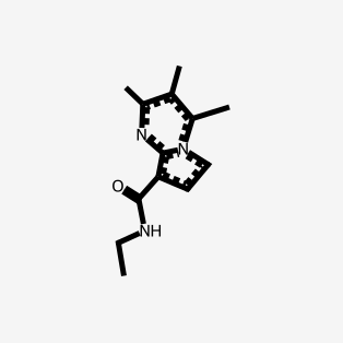 CCNC(=O)c1ccn2c(C)c(C)c(C)nc12